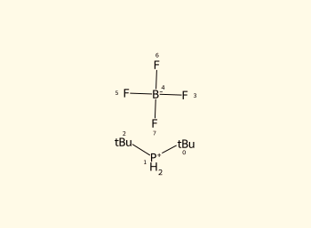 CC(C)(C)[PH2+]C(C)(C)C.F[B-](F)(F)F